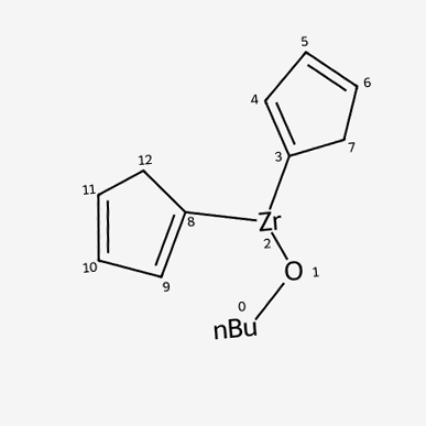 CCCC[O][Zr]([C]1=CC=CC1)[C]1=CC=CC1